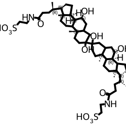 C[C@H](CCC(=O)NCCS(=O)(=O)O)[C@H]1CC[C@H]2[C@H]3C(CC[C@]12C)[C@@]1(C)CCC(O)(C2(O)CC[C@@]4(C)C(C[C@H](O)[C@@H]5C4CC[C@@]4(C)C5CC[C@@H]4[C@H](C)CCC(=O)NCCS(=O)(=O)O)C2)CC1C[C@@H]3O